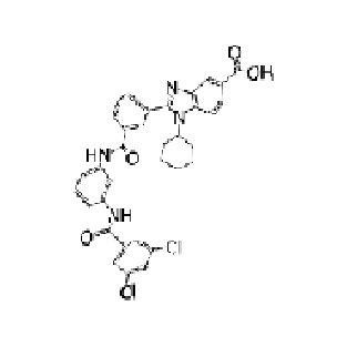 O=C(O)c1ccc2c(c1)nc(-c1cccc(C(=O)Nc3cccc(NC(=O)c4cc(Cl)cc(Cl)c4)c3)c1)n2C1CCCCC1